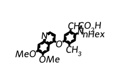 CCCCCCN(C(=O)O)c1cc(C)c(Oc2ccnc3cc(OC)c(OC)cc23)cc1C